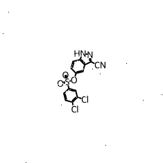 N#Cc1n[nH]c2ccc(OS(=O)(=O)c3ccc(Cl)c(Cl)c3)cc12